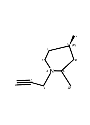 C#CCN1CC[C@@H](C)CC1C